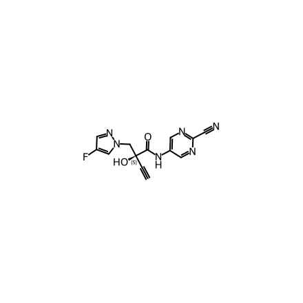 C#C[C@](O)(Cn1cc(F)cn1)C(=O)Nc1cnc(C#N)nc1